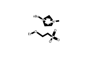 CCCCn1cc[n+](C)c1.CCOCCS(=O)(=O)[O-]